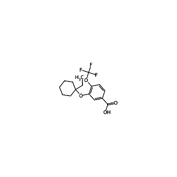 CCC1(Oc2cc(C(=O)O)ccc2OC(F)(F)F)CCCCC1